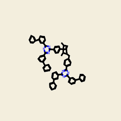 CC1C=C2C(Cc3ccc(-c4nc(-c5cccc(-c6ccccc6)c5)nc(-c5cccc(-c6ccccc6)c5)n4)cc3)C(C)C21c1ccc(-c2nc(-c3cccc(-c4ccccc4)c3)nc(-c3cccc(-c4ccccc4)c3)n2)cc1